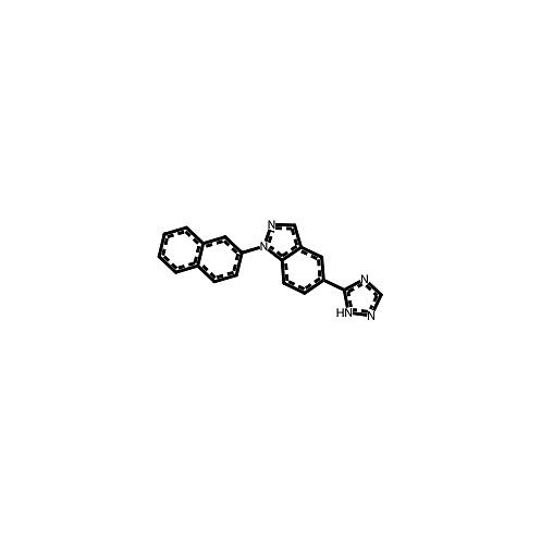 c1ccc2cc(-n3ncc4cc(-c5ncn[nH]5)ccc43)ccc2c1